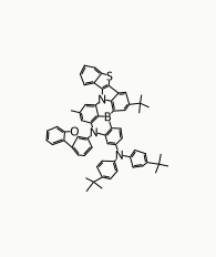 Cc1cc2c3c(c1)-n1c4c(cc(C(C)(C)C)cc4c4sc5ccccc5c41)B3c1ccc(N(c3ccc(C(C)(C)C)cc3)c3ccc(C(C)(C)C)cc3)cc1N2c1cccc2c1oc1ccccc12